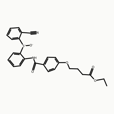 CCOC(=O)CCCOc1ccc(C(=O)Nc2ccccc2[S+]([O-])c2ccccc2C#N)cc1